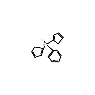 [SH][Hf]([C]1=CC=CC1)([C]1=CC=CC1)[c]1ccccc1